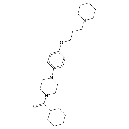 O=C(C1CCCCC1)N1CCN(c2ccc(OCCCN3CCCCC3)cc2)CC1